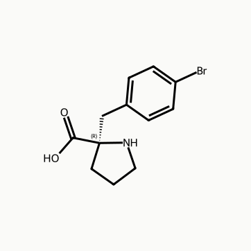 O=C(O)[C@]1(Cc2ccc(Br)cc2)CCCN1